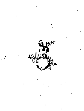 CCOC(=O)[C@@]12C[C@H]1/C=C\CCCCC[C@H](NC(=O)OC(C)(C)C)C(=O)N1C[C@H](n3ncc(N=[N+]=[N-])c(-c4ccsc4)c3=O)C[C@H]1C(=O)N2